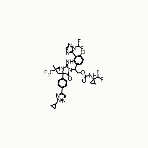 CC(C)(CC1(c2ccc(-c3cnn(C4CC4)n3)cc2)NC(=N)N(C(COC(=O)NC2(C(F)F)CC2)c2ccc(Cl)c(-c3ncnn3C(F)F)c2)C1=O)C(F)(F)F